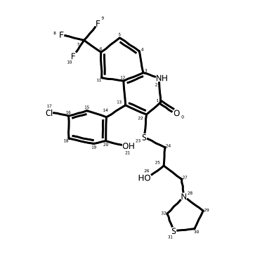 O=c1[nH]c2ccc(C(F)(F)F)cc2c(-c2cc(Cl)ccc2O)c1SCC(O)CN1CCSC1